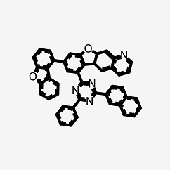 C1=c2cccnc2=CC2Oc3cc(-c4cccc5oc6ccccc6c45)cc(-c4nc(-c5ccccc5)nc(-c5ccc6ccccc6c5)n4)c3C12